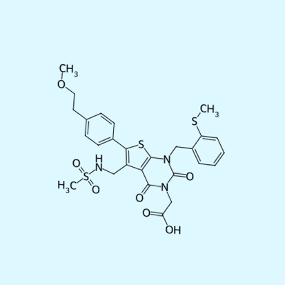 COCCc1ccc(-c2sc3c(c2CNS(C)(=O)=O)c(=O)n(CC(=O)O)c(=O)n3Cc2ccccc2SC)cc1